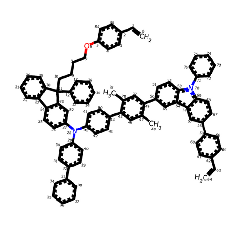 C=Cc1ccc(OCCCCC2(c3ccccc3)c3ccccc3-c3ccc(N(c4ccc(-c5ccccc5)cc4)c4ccc(-c5cc(C)c(-c6ccc7c(c6)c6cc(-c8ccc(C=C)cc8)ccc6n7-c6ccccc6)cc5C)cc4)cc32)cc1